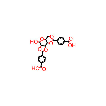 O=C(O)c1ccc(C2OCC3OC(O)C4OC(c5ccc(C(=O)O)cc5)OC4C3O2)cc1